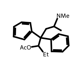 CCC(OC(C)=O)C(CC(C)NC)(c1ccccc1)c1ccccc1